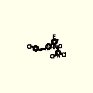 O=C(Nc1ccc(F)cc1C1CCN(CC=Cc2ccc(Cl)cc2)CC1)c1cc(Cl)nc(Cl)c1